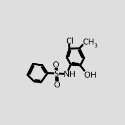 Cc1cc(O)c(NS(=O)(=O)c2ccccc2)cc1Cl